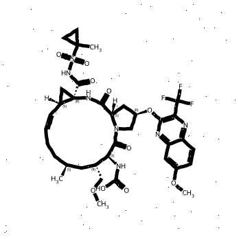 COC[C@@H]1C[C@@H](C)CCC=C[C@@H]2C[C@@]2(C(=O)NS(=O)(=O)C2(C)CC2)NC(=O)[C@@H]2C[C@@H](Oc3nc4cc(OC)ccc4nc3C(F)(F)F)CN2C(=O)[C@H]1NC(=O)O